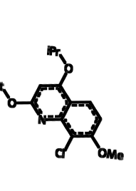 CCOc1cc(OC(C)C)c2ccc(OC)c(Cl)c2n1